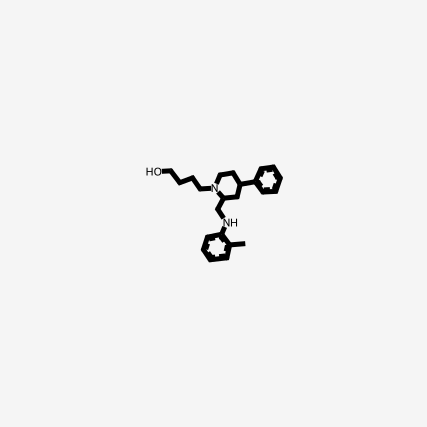 Cc1ccccc1NCC1CC(c2ccccc2)CCN1CCCCO